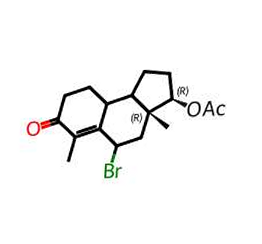 CC(=O)O[C@@H]1CCC2C3CCC(=O)C(C)=C3C(Br)C[C@]21C